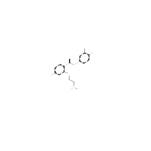 Cc1ccc(C(=O)Nc2ccc(Cl)c(C(F)(F)F)c2)c(OCCN(C)C)c1